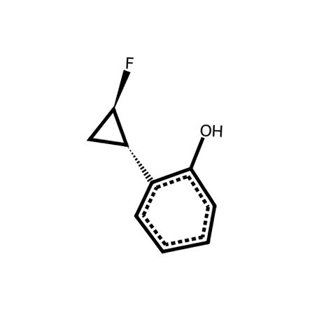 Oc1ccccc1[C@@H]1C[C@H]1F